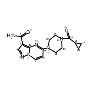 NC(=O)c1cnn2ccc(N3CCN(C(=O)C4CC4)CC3)nc12